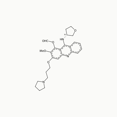 COc1c(OCCCN2CCCC2)cc2nc3ccccc3c(N[C@@H]3CCOC3)c2c1OC=O